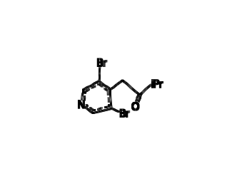 CC(C)C(=O)Cc1c(Br)cncc1Br